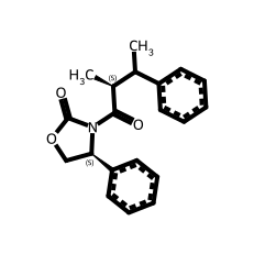 CC(c1ccccc1)[C@H](C)C(=O)N1C(=O)OC[C@@H]1c1ccccc1